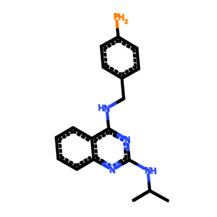 CC(C)Nc1nc(NCc2ccc(P)cc2)c2ccccc2n1